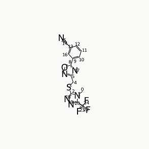 Cn1c(SCc2noc(-c3cccc(C#N)c3)n2)nnc1C(F)(F)F